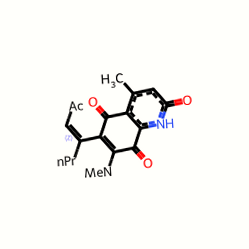 CCC/C(=C/C(C)=O)C1=C(NC)C(=O)c2[nH]c(=O)cc(C)c2C1=O